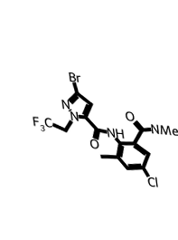 CNC(=O)c1cc(Cl)cc(C)c1NC(=O)c1cc(Br)nn1CC(F)(F)F